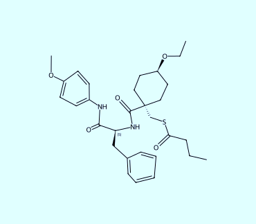 CCCC(=O)SC[C@]1(C(=O)N[C@@H](Cc2ccccc2)C(=O)Nc2ccc(OC)cc2)CC[C@@H](OCC)CC1